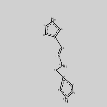 C(=N\NCc1cc[nH]c1)/c1cc[nH]c1